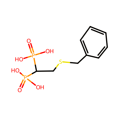 O=P(O)(O)C(CSCc1ccccc1)P(=O)(O)O